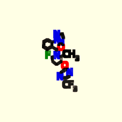 C[C@H]1[C@H](Oc2cnc(C(F)(F)F)cn2)CCCN1C(=O)c1c(F)cccc1-n1nccn1